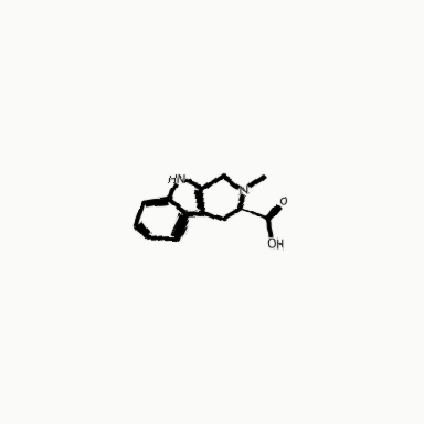 CN1Cc2[nH]c3ccccc3c2C[C@@H]1C(=O)O